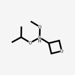 CO[SiH](OC(C)C)C1COC1